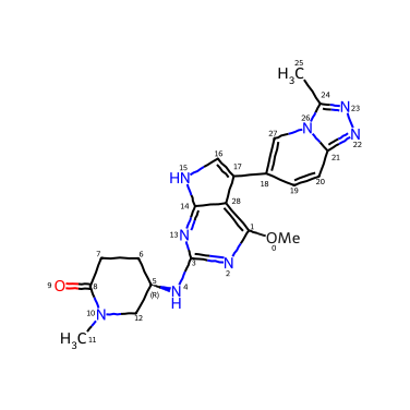 COc1nc(N[C@@H]2CCC(=O)N(C)C2)nc2[nH]cc(-c3ccc4nnc(C)n4c3)c12